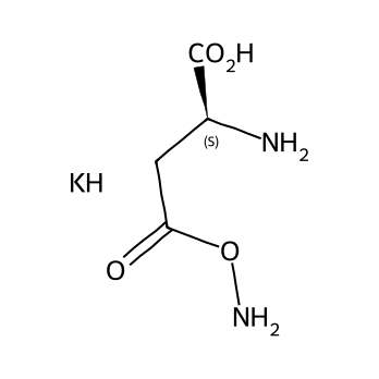 NOC(=O)C[C@H](N)C(=O)O.[KH]